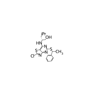 CC(C)C[C@H](CO)Nc1nc(SC(C)c2ccccc2)nc2nc(Cl)sc12